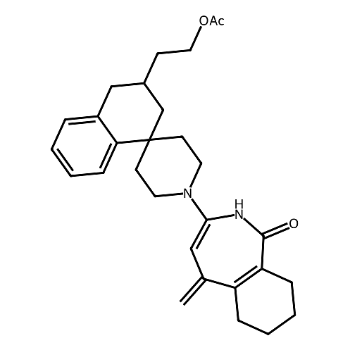 C=C1C=C(N2CCC3(CC2)CC(CCOC(C)=O)Cc2ccccc23)NC(=O)C2=C1CCCC2